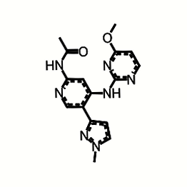 COc1ccnc(Nc2cc(NC(C)=O)ncc2-c2ccn(C)n2)n1